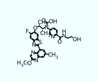 COc1cnc2c(-c3nc4cc(F)c(O[C@@H](C)[C@@H](C)N(C(=O)O)c5ccc(C(=O)NCCO)nc5)cc4s3)cc(C)cc2n1